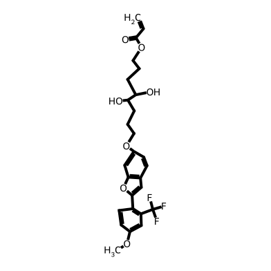 C=CC(=O)OCCCC(O)C(O)CCCOc1ccc2cc(-c3ccc(OC)cc3C(F)(F)F)oc2c1